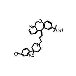 CC(=O)C1(c2ccc(Cl)cc2)CCN(CCC=C2c3cc(C(C)(C)O)ccc3OCc3ncccc32)CC1